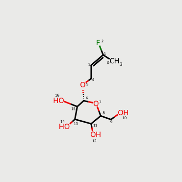 C/C(F)=C\CO[C@@H]1OC(CO)C(O)C(O)C1O